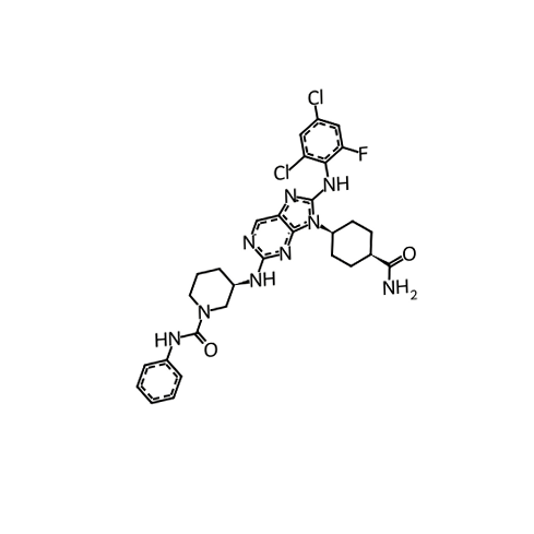 NC(=O)[C@H]1CC[C@@H](n2c(Nc3c(F)cc(Cl)cc3Cl)nc3cnc(N[C@@H]4CCCN(C(=O)Nc5ccccc5)C4)nc32)CC1